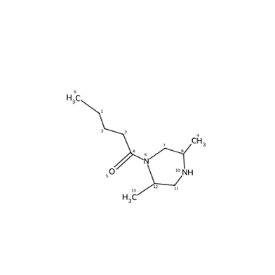 CCCCC(=O)N1CC(C)NCC1C